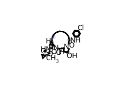 CC1(S(=O)(=O)NC(=O)[C@@]23C[C@H]2/C=C\CCCCC[C@H](Nc2ccc(Cl)cc2)C(=O)N2C[C@H](O)C[C@H]2C(=O)N3)CC1